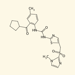 Cc1ccc(NC(=O)Nc2ncc(CS(=O)(=O)c3nccn3C)s2)c(C(=O)C2CCCC2)c1